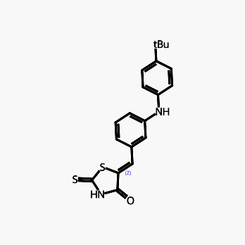 CC(C)(C)c1ccc(Nc2cccc(/C=C3\SC(=S)NC3=O)c2)cc1